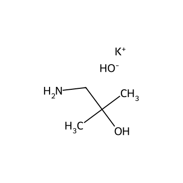 CC(C)(O)CN.[K+].[OH-]